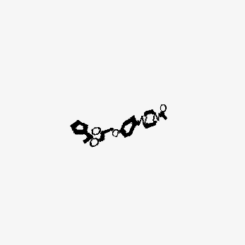 CC(=O)N1CCN(c2ccc(OCC3COC(C)(C4=CC=CC4)O3)cc2)CC1